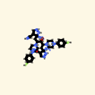 N#CC1=CN=NC1(N)CC(C(=O)C(CC1(N)N=NC=C1C#N)N1CCN(c2ccc(F)cc2)CC1)N1CCN(c2ccc(F)cc2)CC1